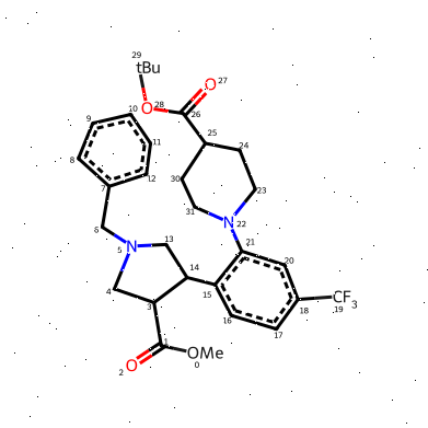 COC(=O)C1CN(Cc2ccccc2)CC1c1ccc(C(F)(F)F)cc1N1CCC(C(=O)OC(C)(C)C)CC1